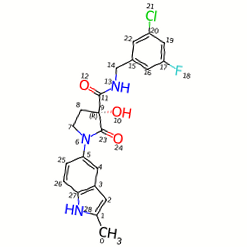 Cc1cc2cc(N3CC[C@@](O)(C(=O)NCc4cc(F)cc(Cl)c4)C3=O)ccc2[nH]1